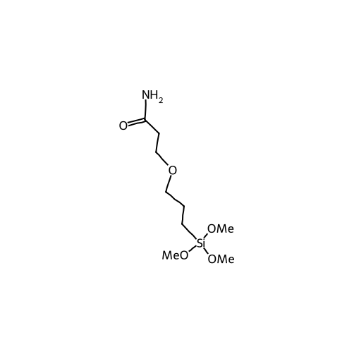 CO[Si](CCCOCCC(N)=O)(OC)OC